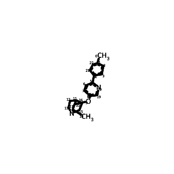 Cc1ccc(-c2ccc(OC3C4CCN(CC4)C3C)cn2)cc1